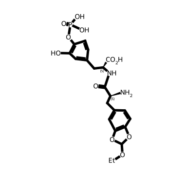 CCOC1Oc2ccc(C[C@H](N)C(=O)N[C@@H](Cc3ccc(OP(=O)(O)O)c(O)c3)C(=O)O)cc2O1